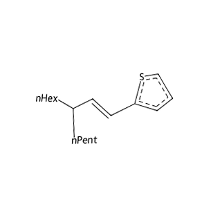 CCCCCCC(/C=C/c1cccs1)CCCCC